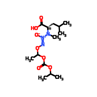 CC(C)C[C@@H](C(=O)O)N(C)[N+]([O-])=NOC(C)OC(=O)OC(C)C